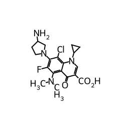 CN(C)c1c(F)c(N2CCC(N)C2)c(Cl)c2c1c(=O)c(C(=O)O)cn2C1CC1